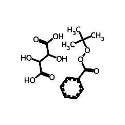 CC(C)(C)OOC(=O)c1ccccc1.O=C(O)C(O)C(O)C(=O)O